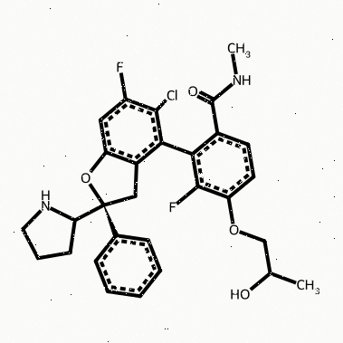 CNC(=O)c1ccc(OCC(C)O)c(F)c1-c1c(Cl)c(F)cc2c1C[C@](c1ccccc1)(C1CCCN1)O2